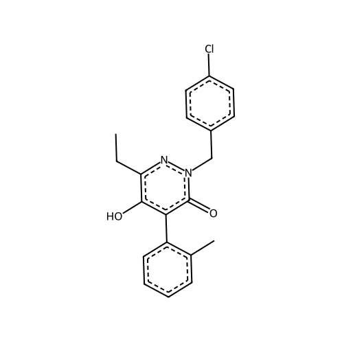 CCc1nn(Cc2ccc(Cl)cc2)c(=O)c(-c2ccccc2C)c1O